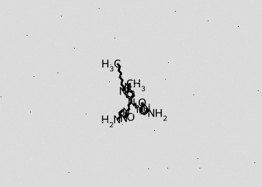 CCCCCCCc1nc2cc(N(CCn3ccc(N)nc3=O)CCn3ccc(N)nc3=O)ccc2n1C